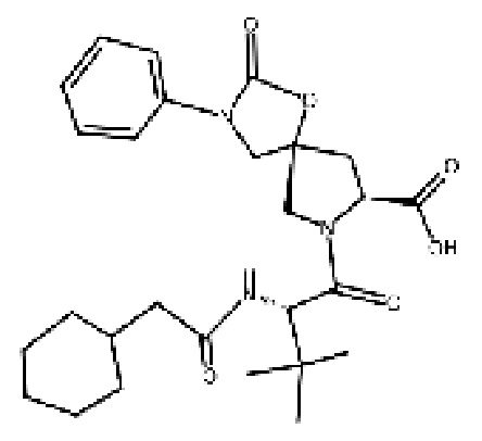 CC(C)(C)[C@H](NC(=O)CC1CCCCC1)C(=O)N1C[C@@]2(C[C@H]1C(=O)O)CN(c1ccccc1)C(=O)O2